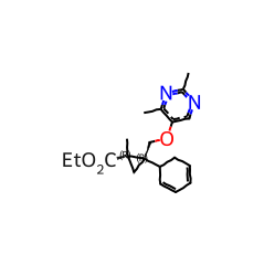 CCOC(=O)[C@]1(C)C[C@@]1(COc1cnc(C)nc1C)C1C=CC=CC1